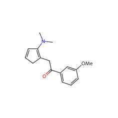 COc1cccc(C(=O)CC2=C(N(C)C)C=CC2)c1